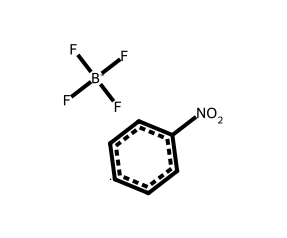 F[B-](F)(F)F.O=[N+]([O-])c1cc[c]cc1